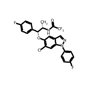 C[C@H](NC(=O)C(F)(F)F)[C@H](Oc1cc2cnn(-c3ccc(F)cc3)c2cc1Cl)c1ccc(F)cc1